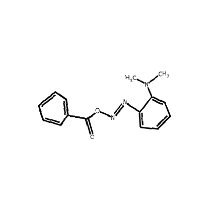 CN(C)c1ccccc1N=NOC(=O)c1ccccc1